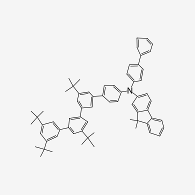 CC(C)(C)c1cc(-c2ccc(N(c3ccc(-c4ccccc4)cc3)c3ccc4c(c3)C(C)(C)c3ccccc3-4)cc2)cc(-c2cc(-c3cc(C(C)(C)C)cc(C(C)(C)C)c3)cc(C(C)(C)C)c2)c1